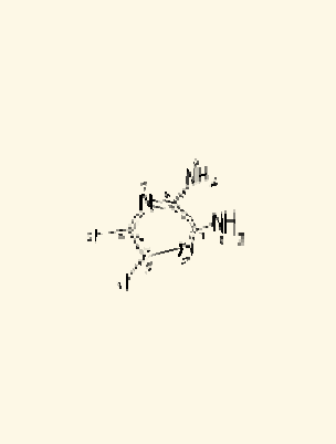 Nc1nc(I)c(I)nc1N